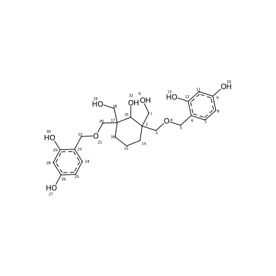 OCC1(COCc2ccc(O)cc2O)CCCC(CO)(COCc2ccc(O)cc2O)C1O